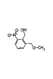 COCc1cccc([N+](=O)[O-])c1CO